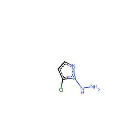 NNn1nccc1Cl